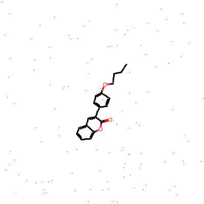 CCCCOc1ccc(-c2cc3ccccc3oc2=O)cc1